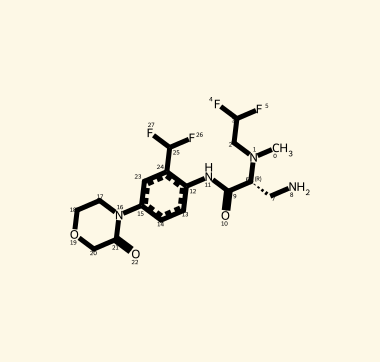 CN(CC(F)F)[C@H](CN)C(=O)Nc1ccc(N2CCOCC2=O)cc1C(F)F